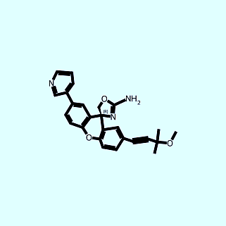 COC(C)(C)C#Cc1ccc2c(c1)[C@]1(COC(N)=N1)c1cc(-c3cccnc3)ccc1O2